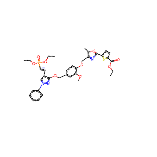 CCOC(=O)c1ccc(-c2nc(COc3ccc(COc4nn(-c5ccccc5)cc4/C=C/P(=O)(OCC)OCC)cc3OC)c(C)o2)s1